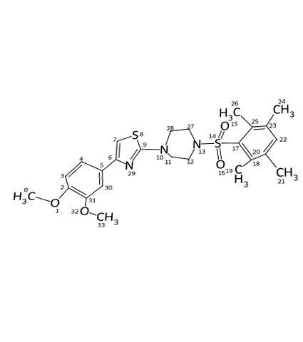 COc1ccc(-c2csc(N3CCN(S(=O)(=O)c4c(C)c(C)cc(C)c4C)CC3)n2)cc1OC